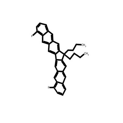 CCCCC1(CCCC)c2cc3cc4cccc(F)c4cc3cc2-c2cc3cc4c(F)cccc4cc3cc21